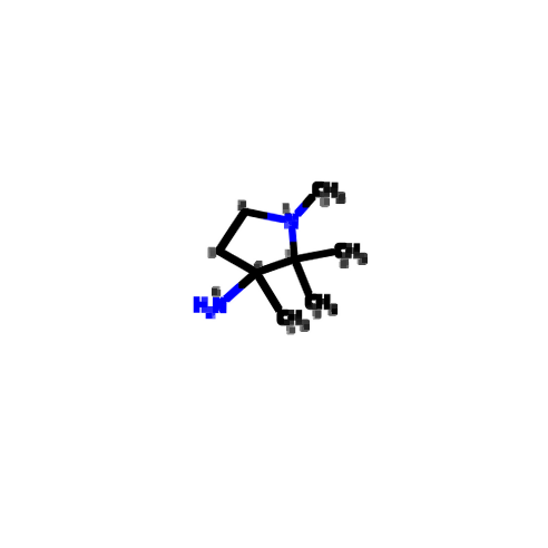 CN1CCC(C)(N)C1(C)C